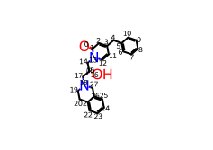 O=c1cc(Cc2ccccc2)ccn1C[C@H](O)CN1CCc2ccccc2C1